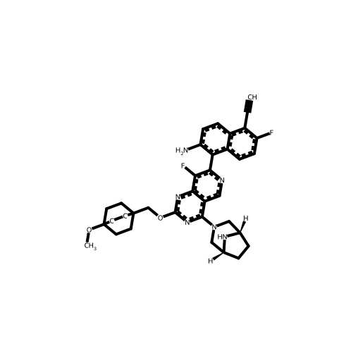 C#Cc1c(F)ccc2c(-c3ncc4c(N5C[C@H]6CC[C@@H](C5)N6)nc(OCC56CCC(OC)(CC5)CC6)nc4c3F)c(N)ccc12